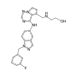 OCCNCc1ccn2ncnc(Nc3ccc4c(cnn4Cc4cccc(F)c4)c3)c12